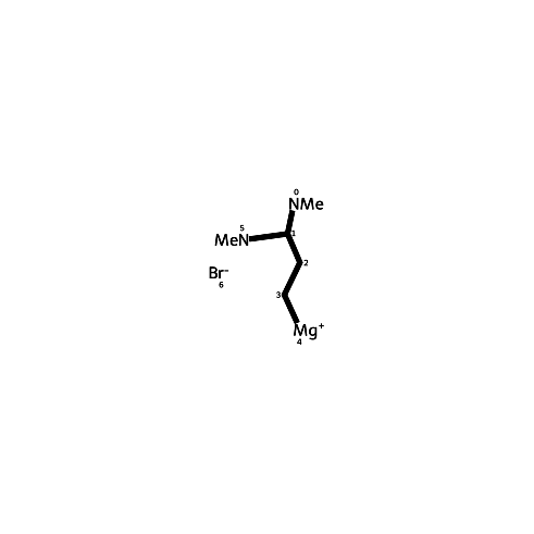 CNC(C[CH2][Mg+])NC.[Br-]